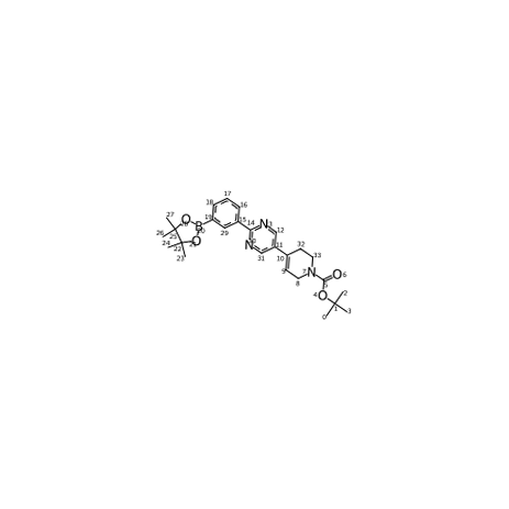 CC(C)(C)OC(=O)N1CC=C(c2cnc(-c3cccc(B4OC(C)(C)C(C)(C)O4)c3)nc2)CC1